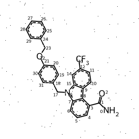 NC(=O)c1cccc2c1c1[c]cc(C(F)(F)F)cc1n2Cc1ccc(OCc2ccccc2)cc1